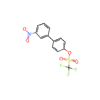 O=[N+]([O-])c1cccc(-c2ccc(OS(=O)(=O)C(F)(F)F)cc2)c1